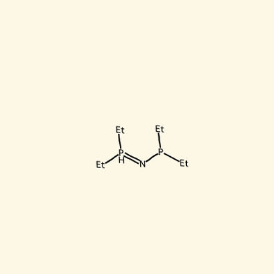 CCP(CC)N=[PH](CC)CC